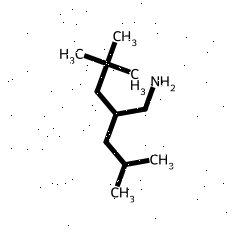 CC(C)CC(CN)CC(C)(C)C